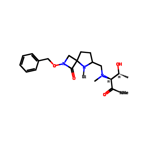 CCN1C(CN(C)[C@H](C(=O)NC)[C@@H](C)O)CCC12CN(OCc1ccccc1)C2=O